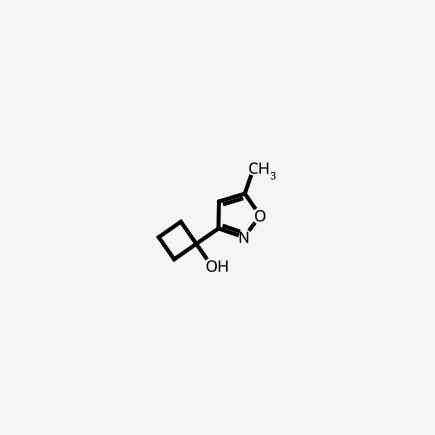 Cc1cc(C2(O)CCC2)no1